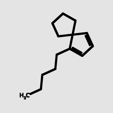 CCCCCC1=CC=CC12CCCC2